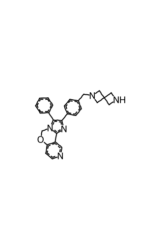 c1ccc(-c2c(-c3ccc(CN4CC5(CNC5)C4)cc3)nc3n2COc2ccncc2-3)cc1